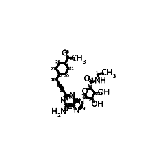 CCNC(=O)[C@H]1O[C@@H](n2cnc3c(N)nc(C#CCC4CCC(C(C)=O)CC4)nc32)C(O)[C@H]1O